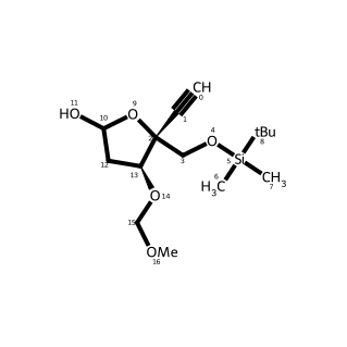 C#C[C@]1(CO[Si](C)(C)C(C)(C)C)OC(O)C[C@@H]1OCOC